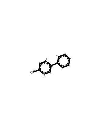 Clc1cnc(-c2ccccc2)cn1